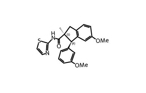 COc1cccc([C@@H]2c3cc(OC)ccc3C[C@]2(C)C(=O)Nc2nccs2)c1